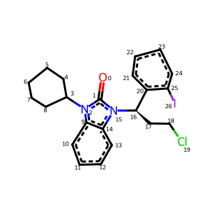 O=c1n(C2CCCCC2)c2ccccc2n1[C@H](CCCl)c1ccccc1I